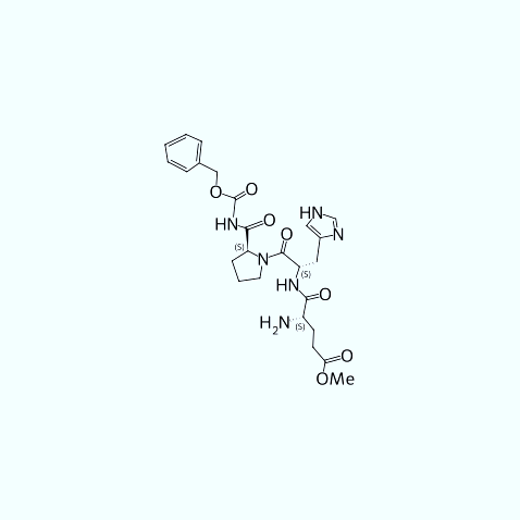 COC(=O)CC[C@H](N)C(=O)N[C@@H](Cc1c[nH]cn1)C(=O)N1CCC[C@H]1C(=O)NC(=O)OCc1ccccc1